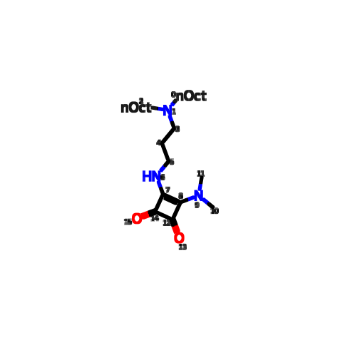 CCCCCCCCN(CCCCCCCC)CCCNc1c(N(C)C)c(=O)c1=O